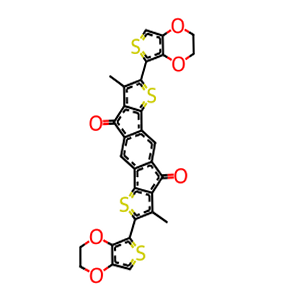 Cc1c(-c2scc3c2OCCO3)sc2c1c(=O)c1cc3c(cc12)c(=O)c1c(C)c(-c2scc4c2OCCO4)sc13